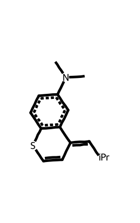 CC(C)/C=C1\C=CSc2ccc(N(C)C)cc21